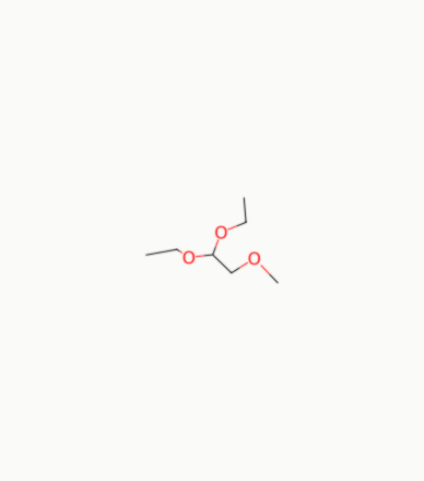 CCOC(COC)OCC